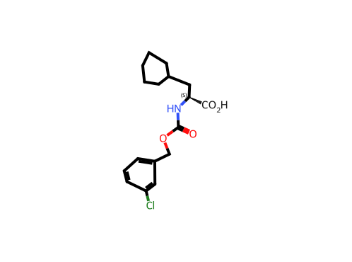 O=C(N[C@@H](CC1CCCCC1)C(=O)O)OCc1cccc(Cl)c1